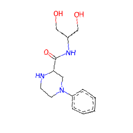 O=C(NC(CO)CO)C1CN(c2ccccc2)CCN1